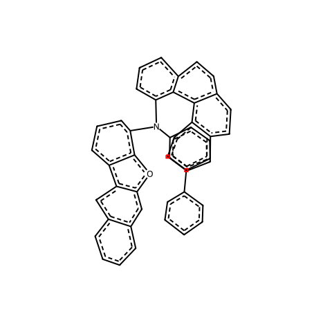 c1ccc(-c2cccc(N(c3cccc4c3oc3cc5ccccc5cc34)c3cccc4ccc5ccc6ccccc6c5c34)c2)cc1